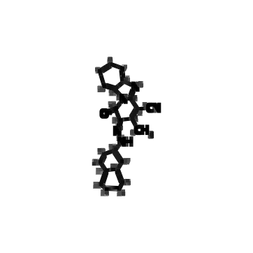 CC1=C(C#N)c2nc3ccccc3n2C(=O)/C1=N/Nc1ccc2ccccc2c1